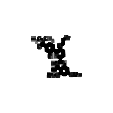 COc1cc(OC)c2c(=O)[nH]c(-c3ccc(OCCBr)c(-c4ccc(C(=O)N(C)C)cc4Cl)n3)nc2c1